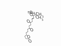 CCCCC(C)(C)C(=O)C=CCC(=O)CCC(=O)CCCC1CCC(=O)O1